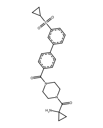 NC1(C(=O)N2CCN(C(=O)c3ccc(-c4cccc(S(=O)(=O)C5CC5)c4)cc3)CC2)CC1